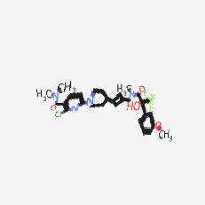 COc1cccc(C(O)(C(=O)N(C)CC2CC(C3CCN(c4ccc(C(=O)N(C)C)c(Cl)n4)CC3)C2)C(F)(F)F)c1